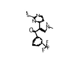 CSc1nccc(/C(=C\N(C)C)C(=O)c2cccc(C(F)(F)F)c2)n1